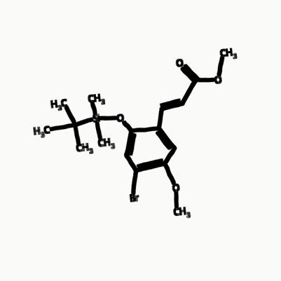 COC(=O)/C=C/c1cc(OC)c(Br)cc1O[Si](C)(C)C(C)(C)C